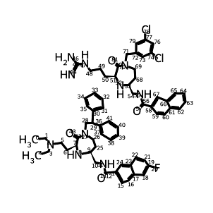 CCN(CC)CC[C@@H]1N[C@H](CNC(=O)c2ccc3cc(F)ccc3c2)CCN(CC(c2ccccc2)c2ccccc2)C1=O.N=C(N)NCCC[C@@H]1N[C@H](CNC(=O)c2ccc3ccccc3c2)CCN(Cc2cc(Cl)cc(Cl)c2)C1=O